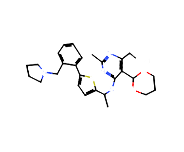 Cc1nc(CC(=O)O)c(C2OCCCO2)c(NC(C)c2ccc(-c3ccccc3CN3CCCC3)s2)n1